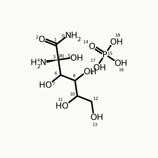 NC(=O)[C@](N)(O)C(O)C(O)C(O)CO.O=P(O)(O)O